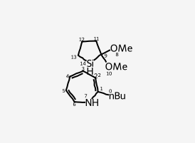 CCCCC1=CC=CC=CN1.COC1(OC)CCC[SiH2]1